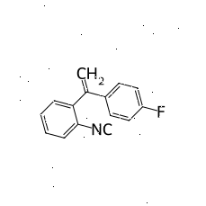 [C-]#[N+]c1ccccc1C(=C)c1ccc(F)cc1